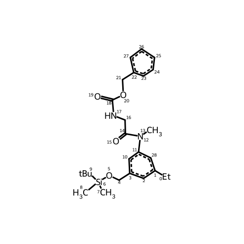 CCc1cc(CO[Si](C)(C)C(C)(C)C)cc(N(C)C(=O)CNC(=O)OCc2ccccc2)c1